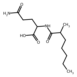 CCCCCC(C)C(=O)NC(CCC(N)=O)C(=O)O